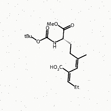 CC/C=C(\C=C(\C)CC[C@H](NC(=O)OC(C)(C)C)C(=O)OC)C(=O)O